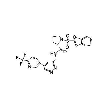 O=C(NCc1cc(-c2ccc(C(F)(F)F)nc2)cnn1)[C@@H]1CCCN1S(=O)(=O)c1cc2ccccc2o1